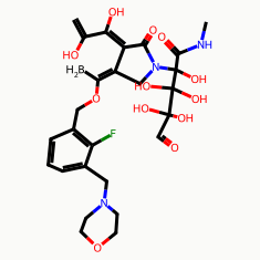 B/C(OCc1cccc(CN2CCOCC2)c1F)=C1/CN(C(O)(C(=O)NC)C(O)(O)C(O)(O)C=O)C(=O)/C1=C(\O)C(=C)O